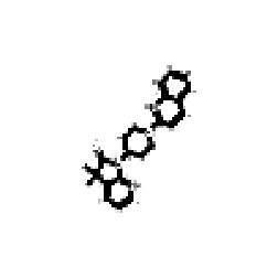 CC1(C)C(=O)N(C2CCN(c3ccc4ccccc4n3)CC2)c2ncccc21